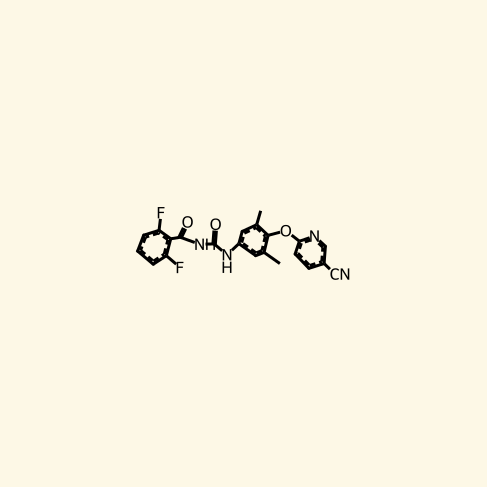 Cc1cc(NC(=O)NC(=O)c2c(F)cccc2F)cc(C)c1Oc1ccc(C#N)cn1